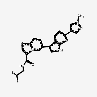 Cn1cc(-c2ccc3c(-c4ccc5ncc(C(=O)NCC(F)F)n5c4)c[nH]c3n2)cn1